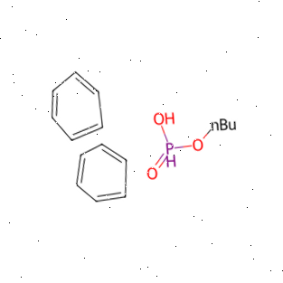 CCCCO[PH](=O)O.c1ccccc1.c1ccccc1